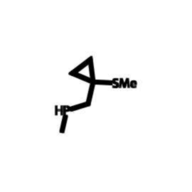 CPCC1(SC)CC1